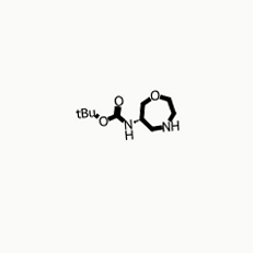 CC(C)(C)OC(=O)N[C@H]1CNCCOC1